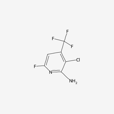 Nc1nc(F)cc(C(F)(F)F)c1Cl